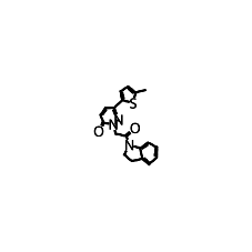 Cc1ccc(-c2ccc(=O)n(CC(=O)N3CCc4ccccc43)n2)s1